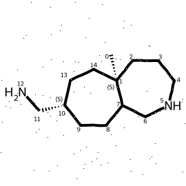 C[C@]12CCCNCC1CC[C@H](CN)CC2